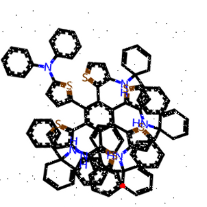 C1=CCC(Nc2ccsc2-c2c(-c3ccc(N(c4ccccc4)c4ccccc4)s3)c(-c3sccc3NC3(c4ccccc4)C=CC=CC3)c(-c3sccc3NC3(c4ccccc4)C=CC=CC3)c(-c3sccc3NC3(c4ccccc4)C=CC=CC3)c2-c2sccc2NC2(c3ccccc3)C=CC=CC2)(c2ccccc2)C=C1